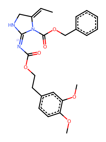 CC=C1CN/C(=N/C(=O)OCCc2ccc(OC)c(OC)c2)N1C(=O)OCc1ccccc1